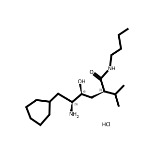 CCCCNC(=O)[C@H](C[C@H](O)[C@@H](N)CC1CCCCC1)C(C)C.Cl